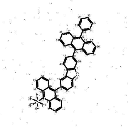 FS(F)(F)(F)(F)c1c2ccccc2c(-c2ccc3oc4cc(-c5c6ccccc6c(-c6ccccc6)c6ccccc56)ccc4c3c2)c2ccccc12